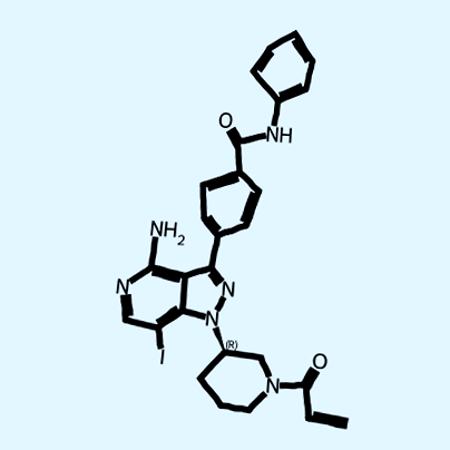 C=CC(=O)N1CCC[C@@H](n2nc(-c3ccc(C(=O)Nc4ccccc4)cc3)c3c(N)ncc(I)c32)C1